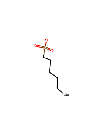 CC(C)(C)CCCCCS([O])(=O)=O